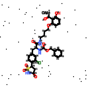 COC(=O)c1c(O)cccc1OCCCCNC(=O)[C@H](Cc1ccc(C2CC(=O)NS2(=O)=O)c(Cl)c1)NC(=O)OCc1ccccc1